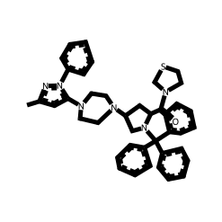 Cc1cc(N2CCN(C3CC(C(=O)N4CCSC4)N(C(c4ccccc4)(c4ccccc4)c4ccccc4)C3)CC2)n(-c2ccccc2)n1